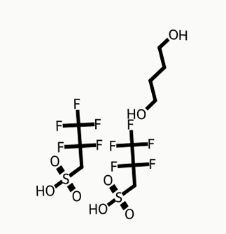 O=S(=O)(O)CC(F)(F)C(F)(F)F.O=S(=O)(O)CC(F)(F)C(F)(F)F.OCCCCO